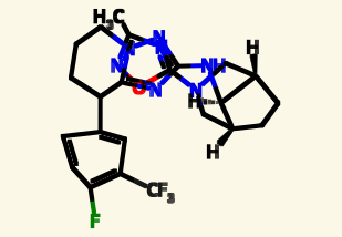 Cc1noc(N2C[C@H]3CC[C@@H](C2)[C@@H]3Nc2nc3n(n2)CCCC3c2ccc(F)c(C(F)(F)F)c2)n1